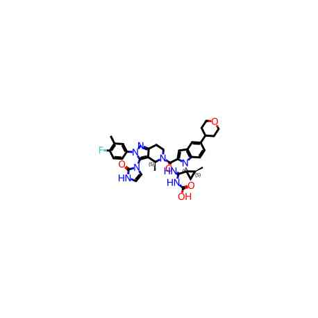 Cc1cc(-n2nc3c(c2-n2cc[nH]c2=O)[C@H](C)N(C(=O)c2cc4cc(C5CCOCC5)ccc4n2[C@@]2(C(=N)NC(=O)O)C[C@@H]2C)CC3)ccc1F